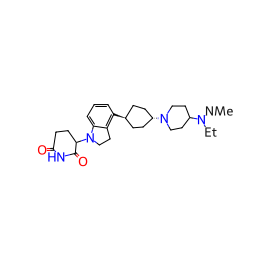 CCN(NC)C1CCN([C@H]2CC[C@H](c3cccc4c3CCN4C3CCC(=O)NC3=O)CC2)CC1